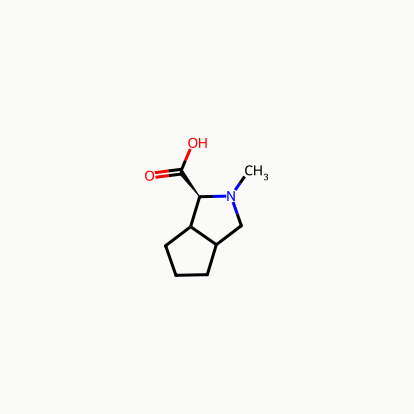 CN1CC2CCCC2[C@H]1C(=O)O